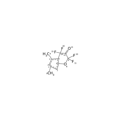 Cc1cc(C)c2c(c1)OC(F)(F)C(=O)C2(F)F